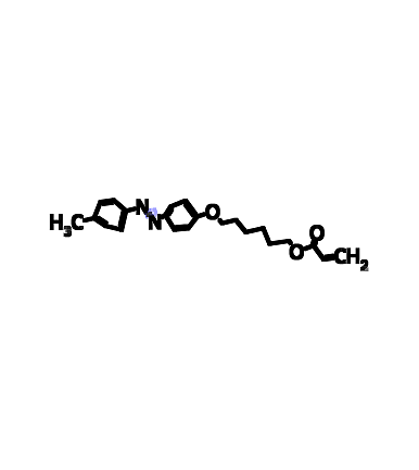 C=CC(=O)OCCCCCCOc1ccc(/N=N/c2ccc(C)cc2)cc1